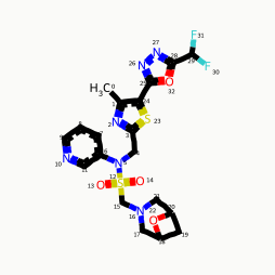 Cc1nc(CN(c2cccnc2)S(=O)(=O)CN2CC3CC(C2)O3)sc1-c1nnc(C(F)F)o1